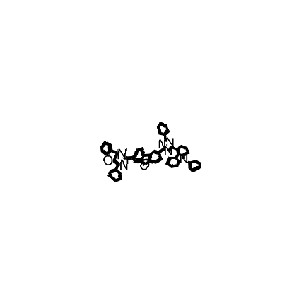 C1=CC2c3c(-c4nc(-c5ccccc5)nc(-c5ccc6oc7cc(-c8nc(-c9ccccc9)c9oc%10ccccc%10c9n8)ccc7c6c5)n4)cccc3N(c3ccccc3)C2C=C1